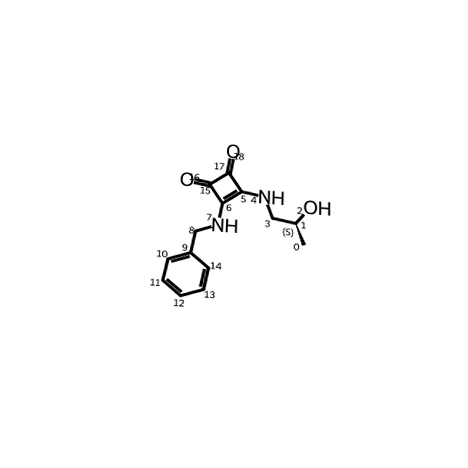 C[C@H](O)CNc1c(NCc2ccccc2)c(=O)c1=O